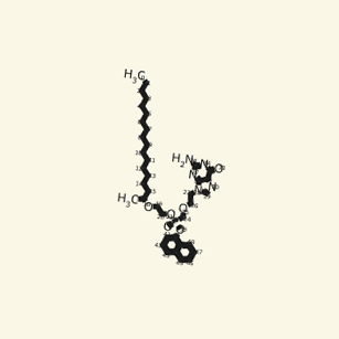 CCCCCCCCCCCCCCCCC(C)OCCOP(=O)(COCCN1C=NC2C(=O)N=C(N)N=C21)Oc1cccc2ccccc12